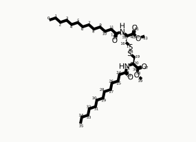 CCCCCCCCCCCCC(=O)N[C@@H](CSSC[C@H](NC(=O)CCCCCCCCCCCC)C(=O)OC)C(=O)OC